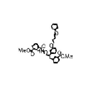 COC(=O)c1cccc(CC(CONC(=O)c2cccc(C(=O)OC)c2)c2cccc(OCCCCOc3ccccc3)c2)c1